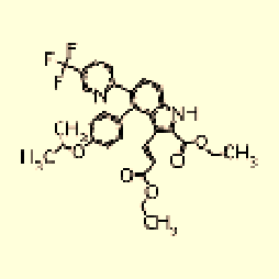 CCOC(=O)C=Cc1c(C(=O)OCC)[nH]c2ccc(-c3ccc(C(F)(F)F)cn3)c(-c3ccc(OC(C)C)cc3)c12